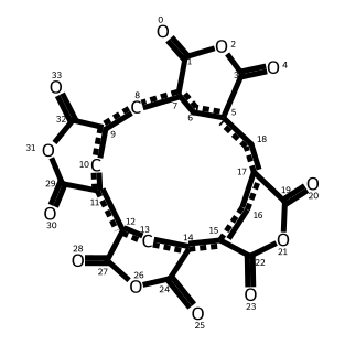 O=C1OC(=O)c2cc1cc1cc(c3cc(c4cc(c2)C(=O)OC4=O)C(=O)OC3=O)C(=O)OC1=O